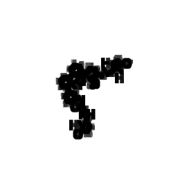 COc1nc(-c2cccc(-c3cccc(-c4ccc5oc(CNCC6CCC(=O)N6)nc5c4)c3Cl)c2Cl)ccc1CNCC1CCC(=O)N1